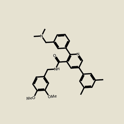 COc1ccc(CNC(=O)c2cc(-c3cc(C)cc(C)c3)cnc2-c2cccc(CN(C)C)c2)cc1OC